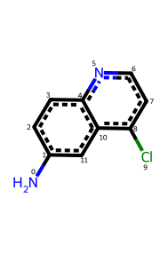 Nc1ccc2nccc(Cl)c2c1